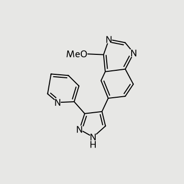 COc1ncnc2ccc(-c3c[nH]nc3-c3ccccn3)cc12